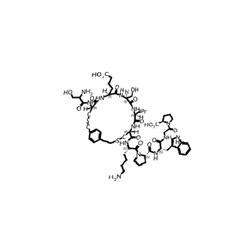 CC(C)[C@@H]1NC(=O)[C@H](CO)NC(=O)[C@H](CCCC(=O)O)NC(=O)[C@@H](NC(=O)C(N)CO)CSCc2ccc(cc2)CSC[C@@H](C(=O)N[C@@H](CCCCN)C(=O)N2CCC[C@H]2C(=O)N[C@@H](Cc2c[nH]c3ccccc23)C(=O)NCC(=O)N2CCCC2C(=O)O)NC1=O